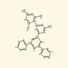 Clc1cc(-c2nc(-c3ccccc3)nc(-c3ccccc3)n2)cc(-c2c(Cl)cc(Cl)cc2Cl)c1